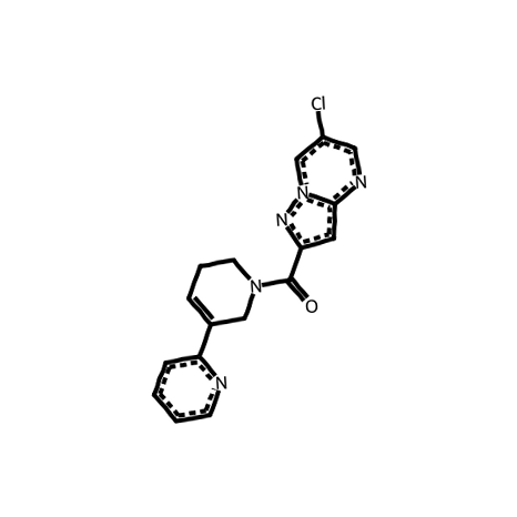 O=C(c1cc2ncc(Cl)cn2n1)N1CCC=C(c2ccccn2)C1